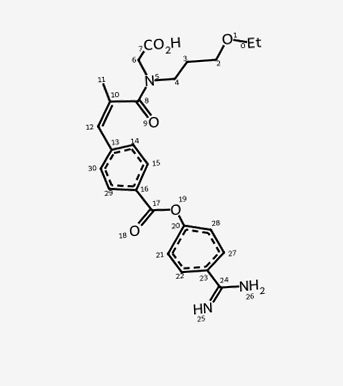 CCOCCCN(CC(=O)O)C(=O)C(C)=Cc1ccc(C(=O)Oc2ccc(C(=N)N)cc2)cc1